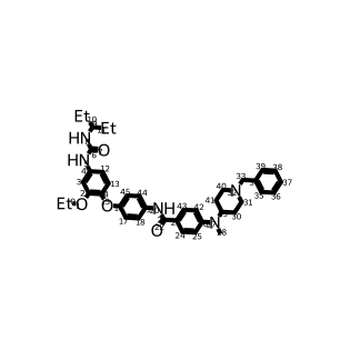 CCOc1cc(NC(=O)NC(CC)CC)ccc1Oc1ccc(NC(=O)c2ccc(N(C)C3CCN(Cc4ccccc4)CC3)cc2)cc1